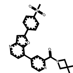 CS(=O)(=O)c1ccc(-c2cc3nccc(-c4ccnc(C(=O)N5CC6(COC6)C5)c4)c3o2)cc1